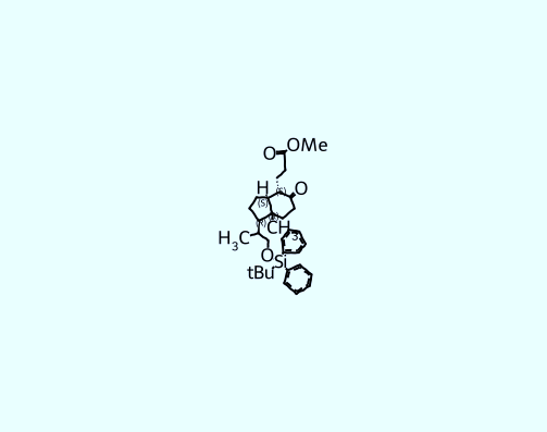 COC(=O)CC[C@@H]1C(=O)CC[C@]2(C)[C@@H](C(C)CO[Si](c3ccccc3)(c3ccccc3)C(C)(C)C)CC[C@@H]12